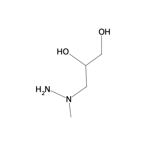 CN(N)CC(O)CO